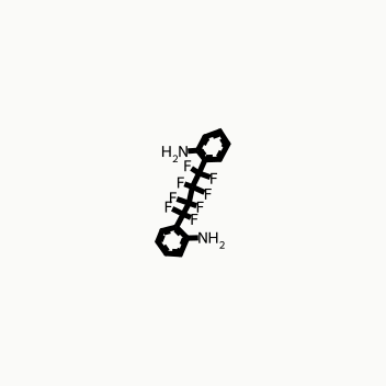 Nc1ccccc1C(F)(F)C(F)(F)C(F)(F)C(F)(F)c1ccccc1N